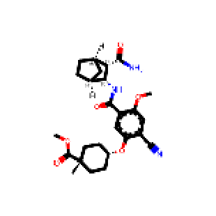 COc1cc(C#N)c(O[C@H]2CC[C@@](C)(C(=O)OC)CC2)cc1C(=O)N[C@@H]1[C@H]2CC[C@H](C2)[C@@H]1C(N)=O